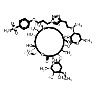 CC[C@H]1OC(=O)[C@H](C)[C@@H](O[C@H]2C[C@@](C)(OC)[C@@H](O)[C@H](C)O2)[C@H](C)[C@@H](O[C@@H]2O[C@H](C)C[C@H](N(C)CCc3cn(CCCOc4ccc(S(N)(=O)=O)cc4)nn3)[C@H]2O)[C@](C)(O)CC[C@@H](C)CN(C)[C@H](C)[C@@H](O)C[C@]1(C)O